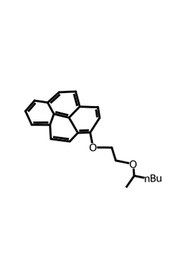 CCCCC(C)OCCOc1ccc2ccc3cccc4ccc1c2c34